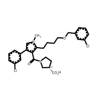 Cn1cc(-c2cccc(Cl)c2)c(C(=O)N2CC[C@H](C(=O)O)C2)c1CCCCOCc1cccc(Cl)c1